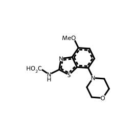 COc1ccc(N2CCOCC2)c2sc(NC(=O)O)nc12